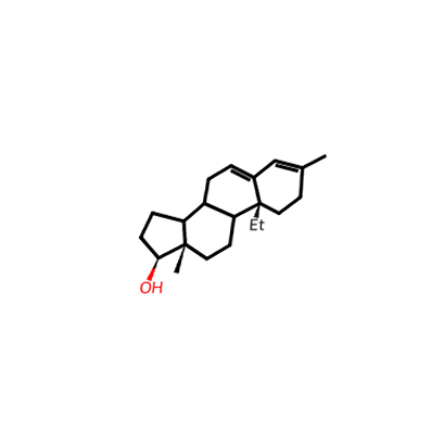 CC[C@]12CCC(C)=CC1=CCC1C2CC[C@@]2(C)C1CC[C@@H]2O